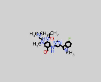 C=CC(=O)Nc1cc(Nc2cc(-c3cn(C)c4ccc(F)cc34)ncn2)c(C=O)cc1N(C)CCN(C)C